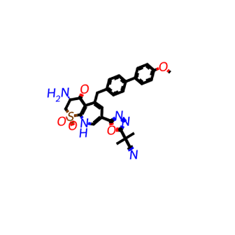 COc1ccc(-c2ccc(CC3=CC(c4nnc(C(C)(C)C#N)o4)=CNC4=C3C(=O)[C@@H](N)CS4(=O)=O)cc2)cc1